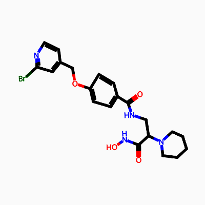 O=C(NCC(C(=O)NO)N1CCCCC1)c1ccc(OCc2ccnc(Br)c2)cc1